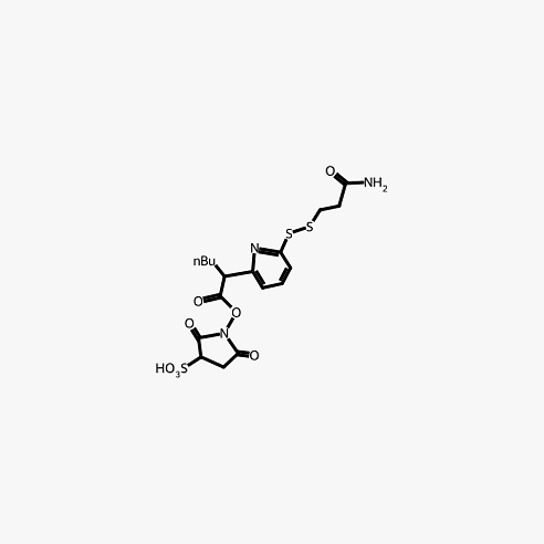 CCCCC(C(=O)ON1C(=O)CC(S(=O)(=O)O)C1=O)c1cccc(SSCCC(N)=O)n1